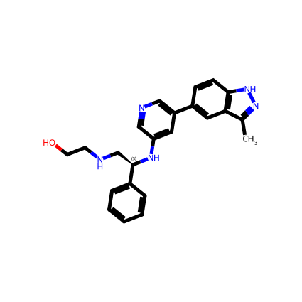 Cc1n[nH]c2ccc(-c3cncc(N[C@H](CNCCO)c4ccccc4)c3)cc12